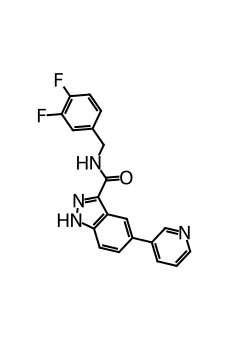 O=C(NCc1ccc(F)c(F)c1)c1n[nH]c2ccc(-c3cccnc3)cc12